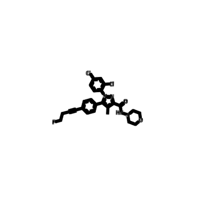 Cc1c(C(=O)NN2CCOCC2)nn(-c2ccc(Cl)cc2Cl)c1-c1ccc(C#CCCF)cc1